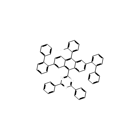 Cc1ccccc1-c1c2ccc(-c3ccccc3-c3ccccc3)cc2c(-c2nc(-c3ccccc3)nc(-c3ccccc3)n2)c2ccc(-c3ccccc3-c3ccccc3)cc12